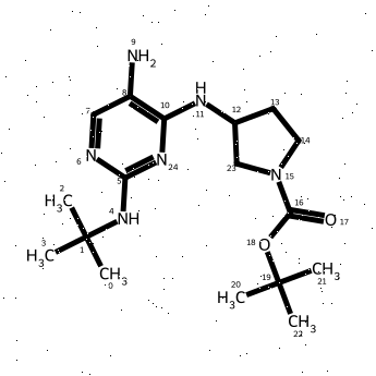 CC(C)(C)Nc1ncc(N)c(NC2CCN(C(=O)OC(C)(C)C)C2)n1